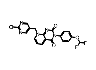 O=c1nc2n(Cc3cnc(Cl)nc3)cccc-2c(=O)n1-c1ccc(OC(F)F)cc1